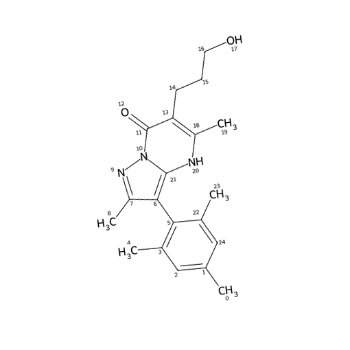 Cc1cc(C)c(-c2c(C)nn3c(=O)c(CCCO)c(C)[nH]c23)c(C)c1